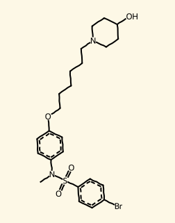 CN(c1ccc(OCCCCCCN2CCC(O)CC2)cc1)S(=O)(=O)c1ccc(Br)cc1